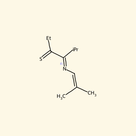 CCC(=S)/C(=N/C=C(C)C)C(C)C